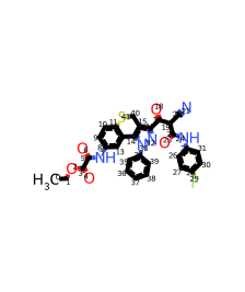 CCOC(=O)C(=O)Nc1ccc2c(c1)-c1c(c(C(=O)C(C#N)C(=O)Nc3ccc(F)cc3)nn1-c1ccccc1)CS2